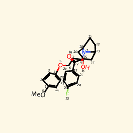 COc1ccc(OCCCN2C3CCC2CC(O)(C(=O)c2ccc(F)cc2)C3)cc1